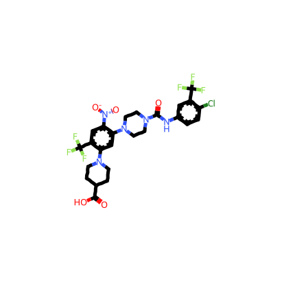 O=C(O)C1CCN(c2cc(N3CCN(C(=O)Nc4ccc(Cl)c(C(F)(F)F)c4)CC3)c([N+](=O)[O-])cc2C(F)(F)F)CC1